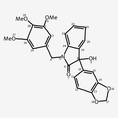 COc1cc(CN2C(=O)C(O)(c3ccc4c(c3)OCO4)c3ccccc32)cc(OC)c1OC